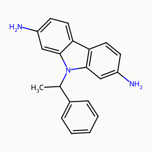 CC(c1ccccc1)n1c2cc(N)ccc2c2ccc(N)cc21